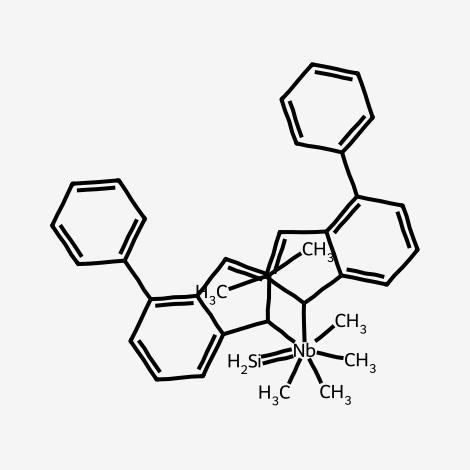 CC1=Cc2c(-c3ccccc3)cccc2[CH]1[Nb]([CH3])([CH3])([CH3])([CH3])(=[SiH2])[CH]1C(C)=Cc2c(-c3ccccc3)cccc21